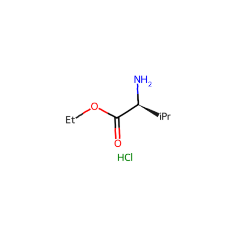 CCOC(=O)[C@@H](N)C(C)C.Cl